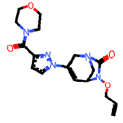 C=CCON1C(=O)N2CC(n3ccc(C(=O)N4CCOCC4)n3)=CC1C2